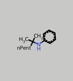 CCCCCC(C)(C)Nc1ccccc1